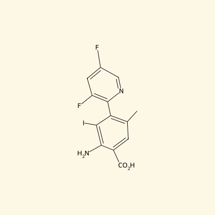 Cc1cc(C(=O)O)c(N)c(I)c1-c1ncc(F)cc1F